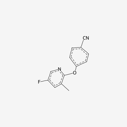 Cc1cc(F)cnc1Oc1ccc(C#N)cc1